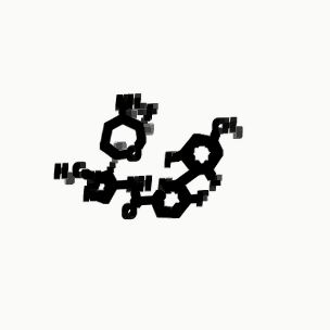 Cc1cc(F)c(-c2nc(C(=O)Nc3cnn(C)c3[C@@H]3CC[C@@H](N)[C@H](F)CO3)ccc2F)c(F)c1